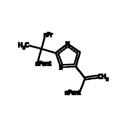 C=C(CCCCC)c1cnc(C(C)(CCC)CCCCC)s1